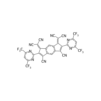 N#CC(C#N)=C1C(c2nc(C(F)(F)F)cc(C(F)(F)F)n2)=C(C#N)c2cc3c(cc21)C(=C(C#N)C#N)C(c1nc(C(F)(F)F)cc(C(F)(F)F)n1)=C3C#N